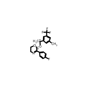 Cc1cc([C@@H](C)O[C@H]2OCCN=C2c2ccc(F)cc2)cc(C(F)(F)F)c1